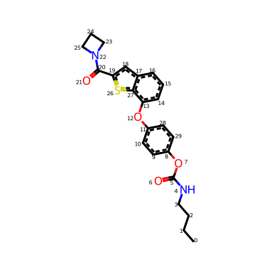 CCCCNC(=O)Oc1ccc(Oc2cccc3cc(C(=O)N4CCC4)sc23)cc1